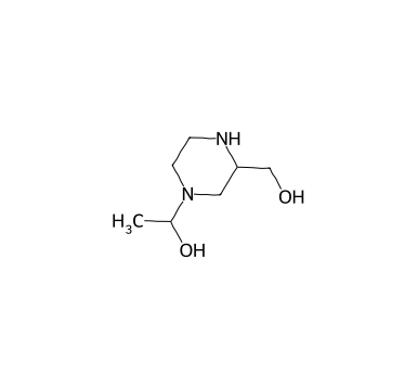 CC(O)N1CCNC(CO)C1